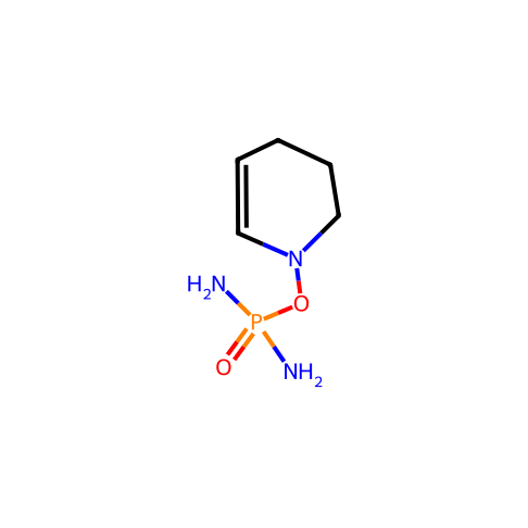 NP(N)(=O)ON1C=CCCC1